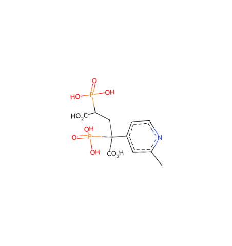 Cc1cc(C(CC(C(=O)O)P(=O)(O)O)(C(=O)O)P(=O)(O)O)ccn1